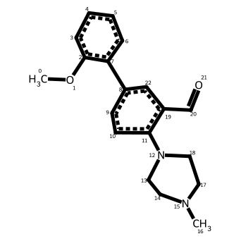 COc1ccccc1-c1ccc(N2CCN(C)CC2)c(C=O)c1